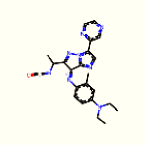 CCN(CC)c1ccc(/N=C2/C(C(C)N=C=O)=Nn3c(-c4cnccn4)cnc32)c(C)c1